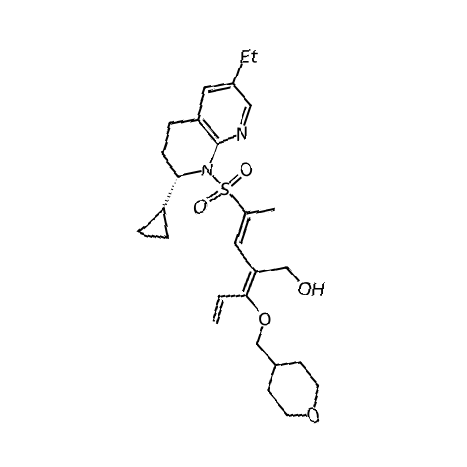 C=C/C(OCC1CCOCC1)=C(\C=C(/C)S(=O)(=O)N1c2ncc(CC)cc2CC[C@H]1C1CC1)CO